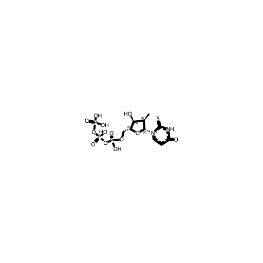 C[C@@H]1[C@H](O)[C@@H](COP(=O)(O)OP(=O)(O)OP(=O)(O)O)O[C@H]1n1ccc(=O)[nH]c1=S